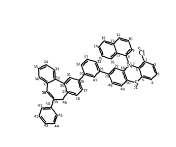 Clc1cccc2c1N(c1cccc3ccccc13)c1cc(-c3cccc(-c4ccc5c(c4)-c4ccccc4C=C(c4ccccc4)C5)c3)ccc1S2